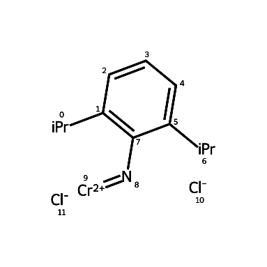 CC(C)c1cccc(C(C)C)c1[N]=[Cr+2].[Cl-].[Cl-]